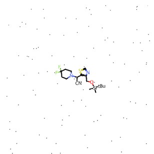 CC(C)(C)[Si](C)(C)OCc1ncsc1C(C#N)N1CCC(F)(F)CC1